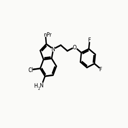 CCCc1cc2c(Cl)c(N)ccc2n1CCOc1ccc(F)cc1F